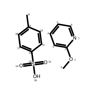 COc1ccccn1.Cc1ccc(S(=O)(=O)O)cc1